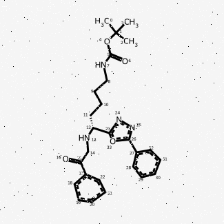 CC(C)(C)OC(=O)NCCCC[C@@H](NCC(=O)c1ccccc1)c1nnc(-c2ccccc2)o1